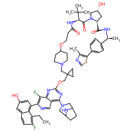 CCc1c(F)ccc2cc(O)cc(-c3ncc4c(N5CC6CCC(C5)N6)nc(OCC5(CN6CCC(OCCC(=O)N[C@H](C(=O)N7C[C@H](O)C[C@H]7C(=O)N[C@@H](C)c7ccc(-c8scnc8C)cc7)C(C)(C)C)CC6)CC5)nc4c3F)c12